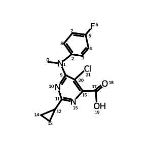 CN(c1ccc(F)cc1)c1nc(C2CC2)nc(C(=O)O)c1Cl